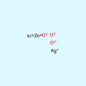 [Ag+].[In+3].[O-2].[O-2].[O-2].[Zn+2]